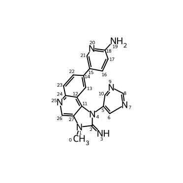 Cn1c(=N)n(-c2cncnc2)c2c3cc(-c4ccc(N)nc4)ccc3ncc21